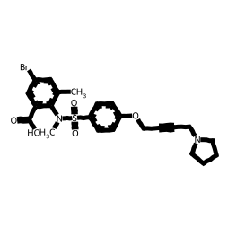 Cc1cc(Br)cc(C(=O)O)c1N(C)S(=O)(=O)c1ccc(OCC#CCN2CCCC2)cc1